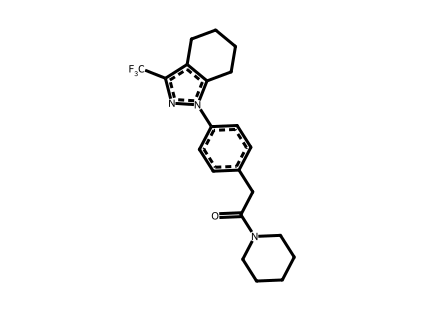 O=C(Cc1ccc(-n2nc(C(F)(F)F)c3c2CCCC3)cc1)N1CCCCC1